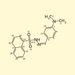 CN(C)c1ccc(/C=N\NS(=O)(=O)c2cccc3ccccc23)cc1